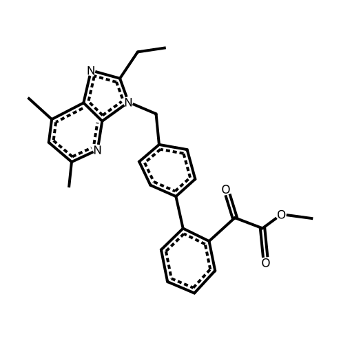 CCc1nc2c(C)cc(C)nc2n1Cc1ccc(-c2ccccc2C(=O)C(=O)OC)cc1